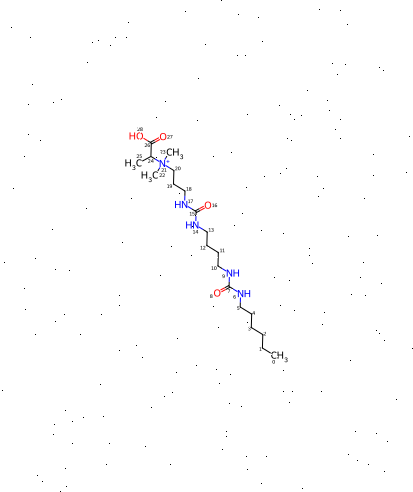 CCCCCCNC(=O)NCCCCNC(=O)NCCC[N+](C)(C)C(C)C(=O)O